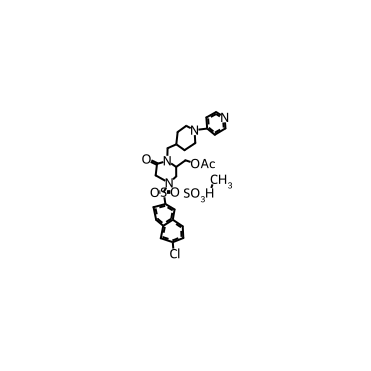 CC(=O)OCC1CN(S(=O)(=O)c2ccc3cc(Cl)ccc3c2)CC(=O)N1CC1CCN(c2ccncc2)CC1.CS(=O)(=O)O